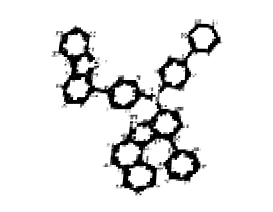 C1=CC(c2ccc(N(c3ccc(-c4cccc5c4sc4ccccc45)cc3)c3ccc(-c4ccccc4)c4c3oc3ccc5ccccc5c34)cc2)=CCC1